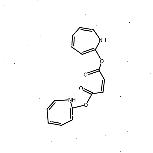 O=C(/C=C\C(=O)OC1=CC=CC=CN1)OC1=CC=CC=CN1